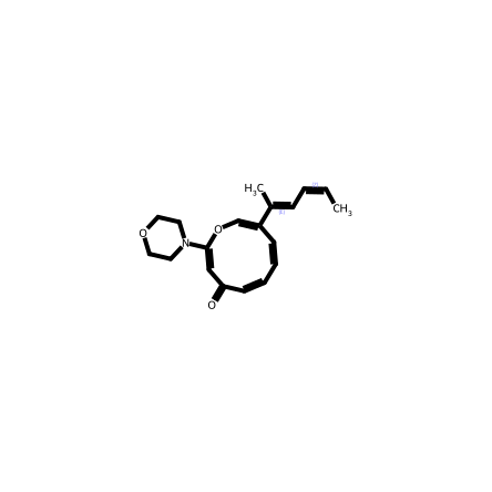 C/C=C\C=C(/C)c1ccccc(=O)cc(N2CCOCC2)oc1